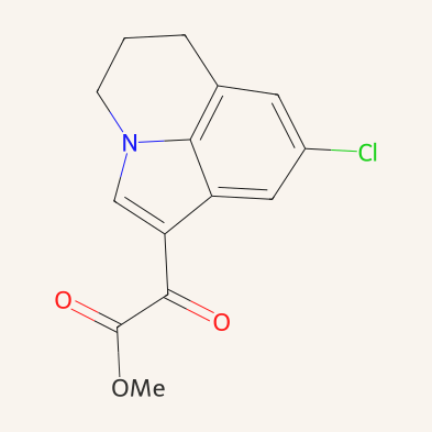 COC(=O)C(=O)c1cn2c3c(cc(Cl)cc13)CCC2